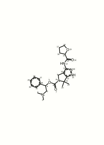 CN(C)CC(OC(=O)N1Cc2c(NC(=O)C3CCCO3)n[nH]c2C1(C)C)c1ccccc1